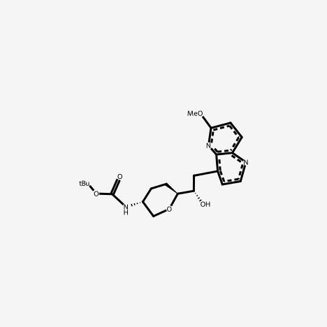 COc1ccc2nccc(C[C@H](O)[C@@H]3CC[C@@H](NC(=O)OC(C)(C)C)CO3)c2n1